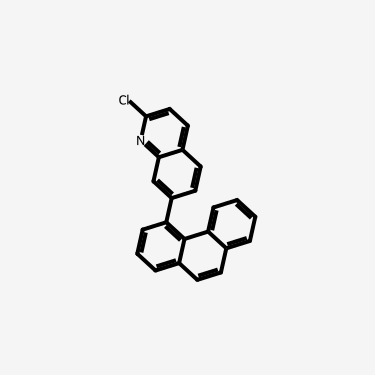 Clc1ccc2ccc(-c3cccc4ccc5ccccc5c34)cc2n1